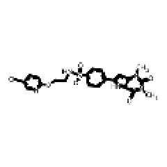 Cn1c(=O)c2[nH]c(-c3ccc(S(=O)(=O)NCCOc4ccc(Cl)cn4)cc3)cc2n(C)c1=O